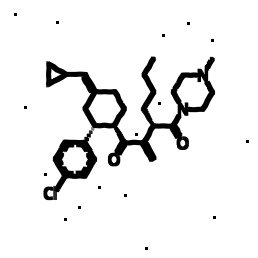 C=C(C(=O)[C@@H]1CC/C(=C/C2CC2)C[C@H]1c1ccc(Cl)cc1)[C@@H](CCCC)C(=O)N1CCN(C)CC1